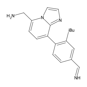 CCC(C)c1cc(C=N)ccc1-c1ccc(CN)n2ccnc12